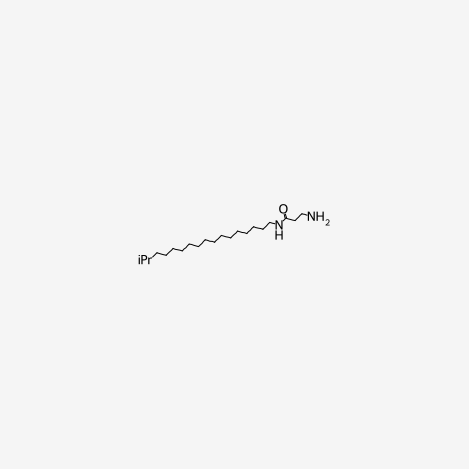 CC(C)CCCCCCCCCCCCCCCNC(=O)CCN